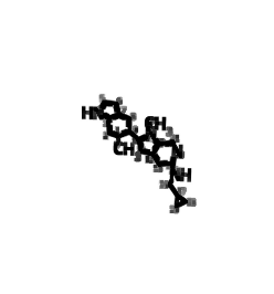 Cc1cc2[nH]ccc2cc1-c1cc2cc(NCC3CC3)ncc2n1C